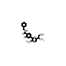 CC(CO)c1cnc(N)c(-c2ccc(C(=O)NCc3ccccc3)c(F)c2)n1